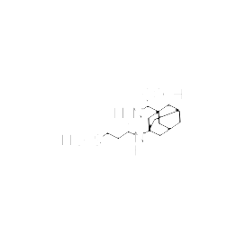 N[C@H](C(=O)O)C12CC3CC(CC(NCCCS(=O)(=O)O)(C3)C1)C2